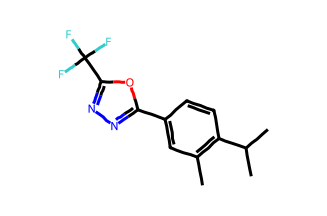 Cc1cc(-c2nnc(C(F)(F)F)o2)ccc1C(C)C